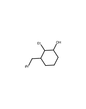 CCC1C(O)CCCC1CC(C)C